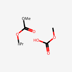 CCCOC(=O)OC.COC(=O)O